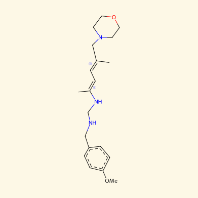 COc1ccc(CNCN/C(C)=C/C=C(\C)CN2CCOCC2)cc1